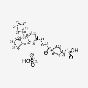 CC(C)(C(=O)O)c1ccc(C(=O)CCCN2CCC(C(c3ccccc3)c3ccccc3)CC2)cc1.CS(=O)(=O)O